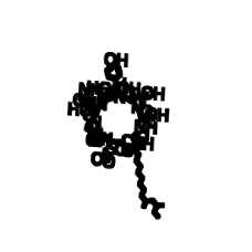 CCC(C)CC(C)CCCCCCCCC(=O)NC1C[C@@H](O)C(SCC(=O)OC)NC(=O)[C@@H]2[C@@H](O)CCN2C(=O)C([C@H](O)CC(N)=O)NC(=O)[C@H]([C@H](O)[C@@H](O)c2ccc(O)cc2)NC(=O)C2C[C@@H](O)CN2C(=O)C([C@@H](C)O)NC1=O